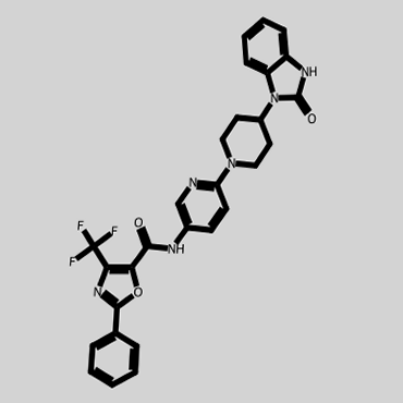 O=C(Nc1ccc(N2CCC(n3c(=O)[nH]c4ccccc43)CC2)nc1)c1oc(-c2ccccc2)nc1C(F)(F)F